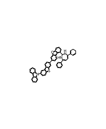 C1=CC(C2=CC=C(c3ccccc3)NC(c3cccc4oc5cc(-c6ccc7c(c6)sc6ccc(-n8c9ccccc9c9ccccc98)cc67)ccc5c34)N2)=CCC1